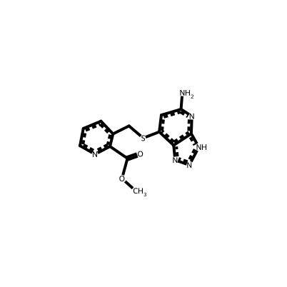 COC(=O)c1ncccc1CSc1cc(N)nc2[nH]nnc12